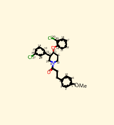 COc1ccc(CCC(=O)N2CCC(Oc3ccccc3Cl)C(c3cccc(Cl)c3)C2)cc1